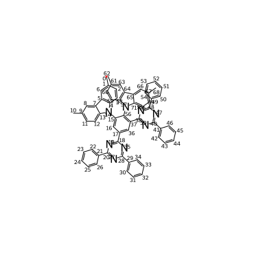 Cc1ccc2c(c1)c1cc(C)ccc1n2-c1cc(-c2nc(-c3ccccc3)nc(-c3ccccc3)n2)cc(-c2nc(-c3ccccc3)nc(-c3ccccc3)n2)c1-n1c2ccc(C)cc2c2cc(C)ccc21